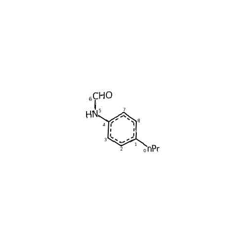 CCCc1ccc(NC=O)cc1